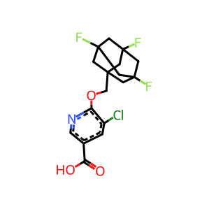 O=C(O)c1cnc(OCC23CC4(F)CC(F)(CC(F)(C4)C2)C3)c(Cl)c1